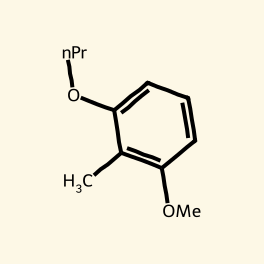 CCCOc1cccc(OC)c1C